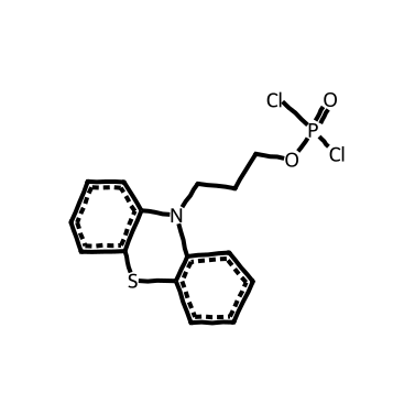 O=P(Cl)(Cl)OCCCN1c2ccccc2Sc2ccccc21